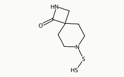 O=C1NCC12CCN(SS)CC2